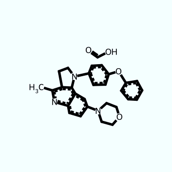 Cc1nc2ccc(N3CCOCC3)cc2c2c1CCN2c1ccc(Oc2ccccc2)cc1.O=CO